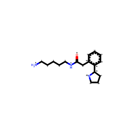 NCCCCCNC(=O)Cc1ccccc1C1CCC[N]1